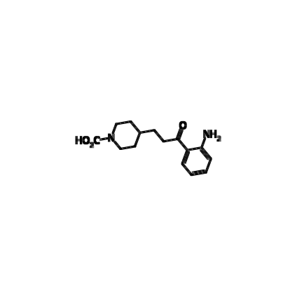 Nc1ccccc1C(=O)CCC1CCN(C(=O)O)CC1